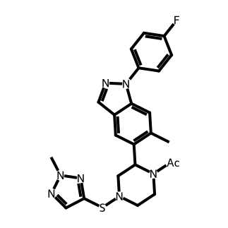 CC(=O)N1CCN(Sc2cnn(C)n2)CC1c1cc2cnn(-c3ccc(F)cc3)c2cc1C